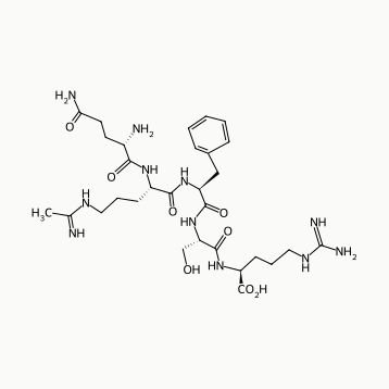 CC(=N)NCCC[C@H](NC(=O)[C@@H](N)CCC(N)=O)C(=O)N[C@@H](Cc1ccccc1)C(=O)N[C@@H](CO)C(=O)N[C@@H](CCCNC(=N)N)C(=O)O